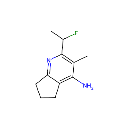 Cc1c(C(C)F)nc2c(c1N)CCC2